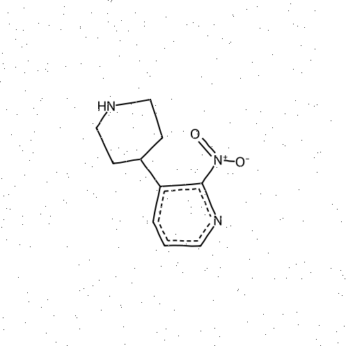 O=[N+]([O-])c1ncccc1C1CCNCC1